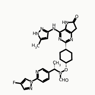 Cc1cc(Nc2nc([C@H]3CC[C@@H](ON(C=O)[C@@H](C)c4ccc(-n5cc(F)cn5)nc4)CC3)nc3c2NC(=O)C3)n[nH]1